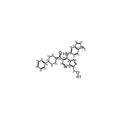 CCOCc1cnn2c(Nc3ccc4c(ccn4C)c3)c(C(=O)N3CCC(c4ccccc4)CC3)cnc12